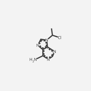 CC(Cl)n1cnc2c(N)ncnc21